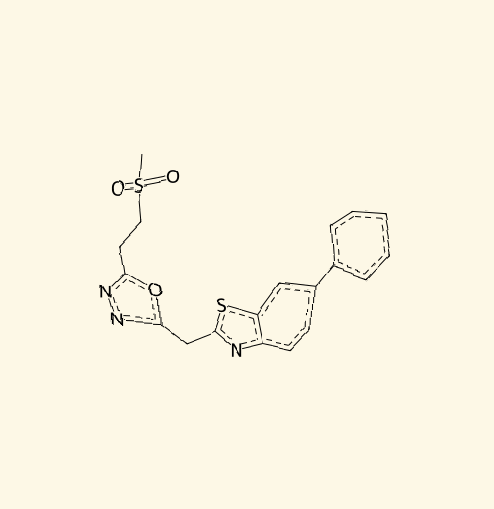 CS(=O)(=O)CCc1nnc(Cc2nc3ccc(-c4ccccc4)cc3s2)o1